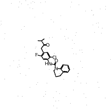 CC(C)C(=O)Cc1cc(Cl)c(NC(=O)N2CCCc3ccccc32)cc1F